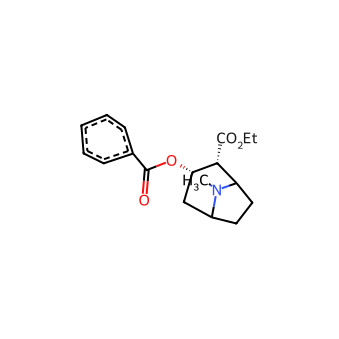 CCOC(=O)[C@@H]1C2CCC(C[C@@H]1OC(=O)c1ccccc1)N2C